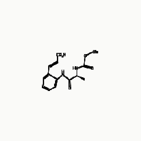 C[C@H](NC(=O)OC(C)(C)C)C(=O)Nc1ccccc1/C=C/C(=O)O